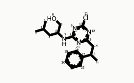 CC(C)CC(CO)Nc1nc(Cl)nc(CC(C)c2ccccc2)n1